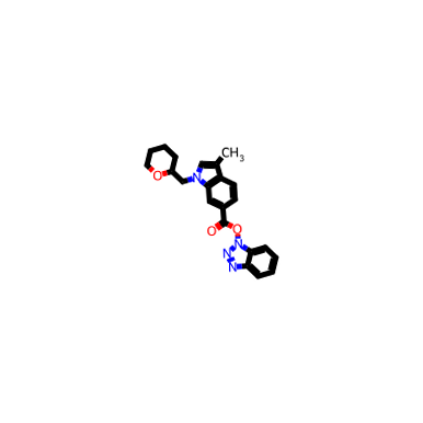 Cc1cn(CC2CCCCO2)c2cc(C(=O)On3nnc4ccccc43)ccc12